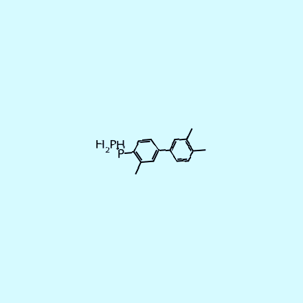 Cc1ccc(-c2ccc(PP)c(C)c2)cc1C